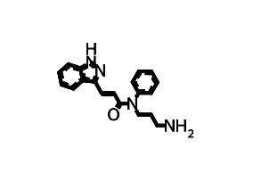 NCCCN(C(=O)/C=C/c1n[nH]c2ccccc12)c1ccccc1